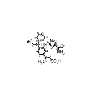 CC(C)CN(c1ccc([C@H](C)CC(=O)O)cc1Nc1nnc(C(N)=O)s1)C1CCOCC1